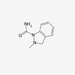 CN1Cc2[c]cccc2N1C(N)=O